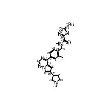 Cc1cc(-c2ncnn3cc(C4CCN(C)C4)cc23)ccc1CNC(=O)c1noc(C(C)(C)C)n1